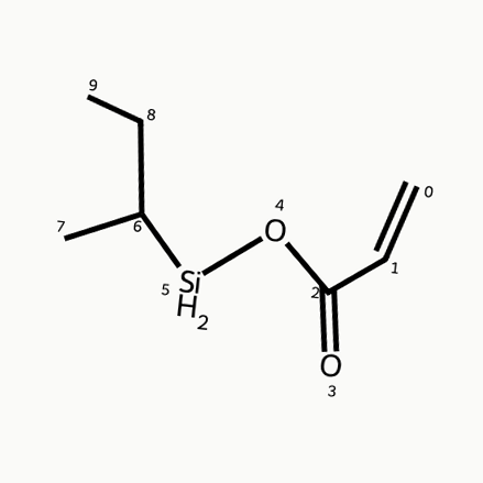 C=CC(=O)O[SiH2]C(C)CC